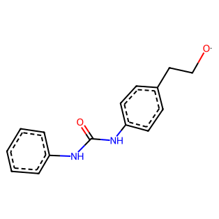 [O]CCc1ccc(NC(=O)Nc2ccccc2)cc1